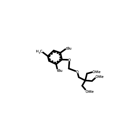 COCC(COC)(COC)COCOc1c(C(C)(C)C)cc(C)cc1C(C)(C)C